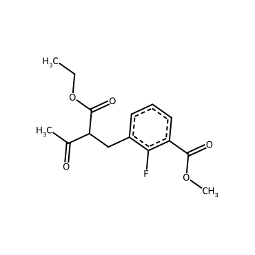 CCOC(=O)C(Cc1cccc(C(=O)OC)c1F)C(C)=O